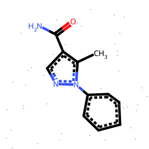 Cc1c(C(N)=O)cnn1-c1ccccc1